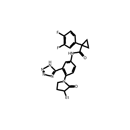 CCC1CCN(c2ccc(NC(=O)C3(c4ccc(F)c(F)c4)CC3)cc2-c2nnn[nH]2)C1=O